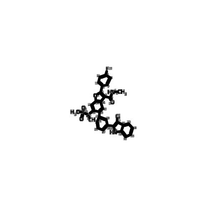 CNC(=O)c1c(-c2ccc(F)cc2)oc2cc(N(C)S(C)(=O)=O)c(-c3cccc(-c4[nH]c5ccccc5c4Cl)c3)cc12